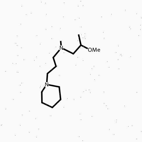 COC(C)CN(C)CCCN1CCCCC1